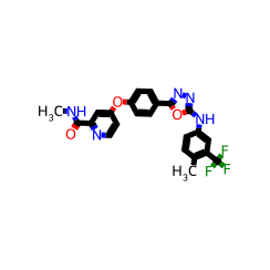 CNC(=O)c1cc(Oc2ccc(-c3nnc(Nc4ccc(C)c(C(F)(F)F)c4)o3)cc2)ccn1